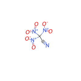 N#CC([N+](=O)[O-])([N+](=O)[O-])[N+](=O)[O-]